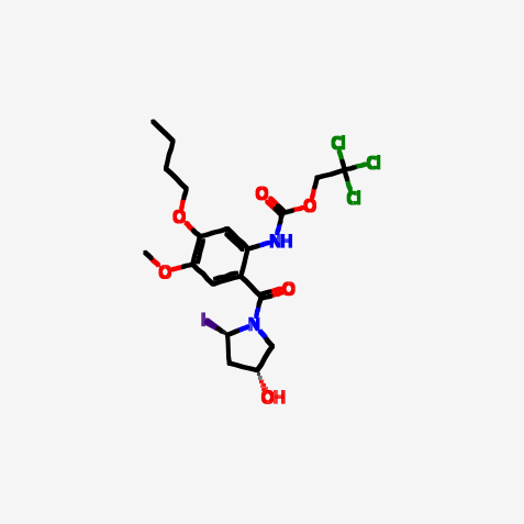 CCCCOc1cc(NC(=O)OCC(Cl)(Cl)Cl)c(C(=O)N2C[C@H](O)C[C@H]2I)cc1OC